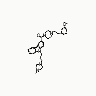 COc1cccc(CCN2CCN(C(=O)c3ccc4c(c3)c3ccccc3n4CCCN3CCN(C)CC3)CC2)c1